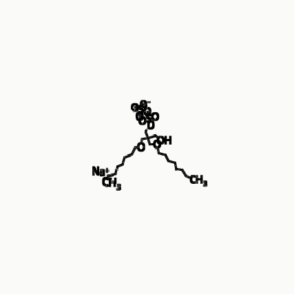 CCCCCCCCOCC(CO)(COCCCCCCCC)COS(=O)(=O)OS(=O)(=O)[O-].[Na+]